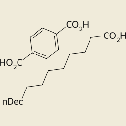 CCCCCCCCCCCCCCCCCC(=O)O.O=C(O)c1ccc(C(=O)O)cc1